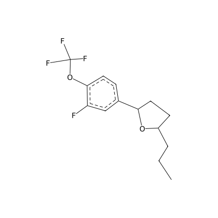 CCCC1CCC(c2ccc(OC(F)(F)F)c(F)c2)O1